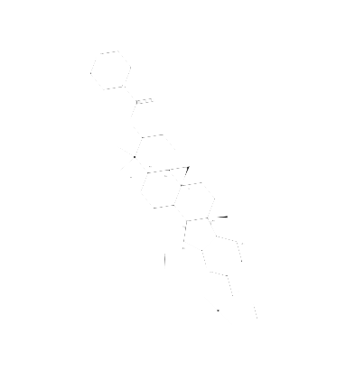 CCO[C@@H](C1C[C@@H](C)C2C(O1)[C@H](OCC)[C@@]1(C)C3CC[C@H]4C(C)(C)C(OC(=O)N5CCOCC5)CC[C@@]45C[C@@]35CC[C@]21C)C(C)(C)O